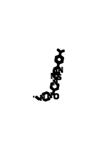 [CH2]CN1CCN(C(=O)C2CCN(c3nn4cc(-c5ccc(C(C)C)cc5)nc4s3)CC2)CC1